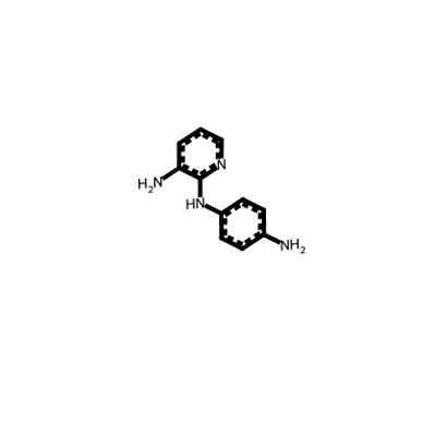 Nc1ccc(Nc2ncccc2N)cc1